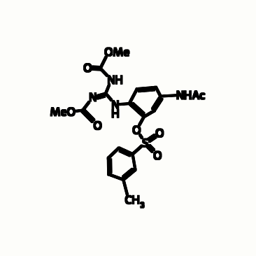 COC(=O)N=C(NC(=O)OC)Nc1ccc(NC(C)=O)cc1OS(=O)(=O)c1cccc(C)c1